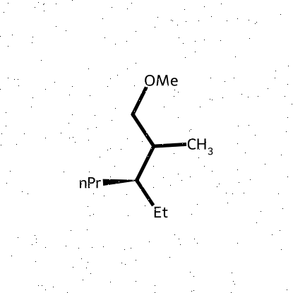 CCC[C@H](CC)C(C)COC